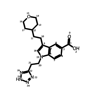 O=C(O)c1ccc2c(c1)c(CCC1CCOCC1)cn2CCc1nn[nH]n1